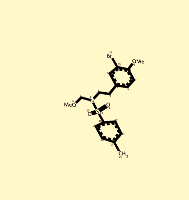 COCN(CCc1ccc(OC)c(Br)c1)S(=O)(=O)c1ccc(C)cc1